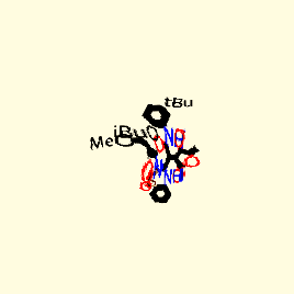 C=C1OC(=O)C(C(C(=O)Nc2cc(C(C)(C)C)ccc2OCC(C)C)C2Nc3ccccc3S(=O)(=O)N2CCCOC)C1=O